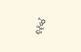 O=C(N[C@@H]1C2CCN(C2)C12CC2)c1cc2cccc(C3CC3)c2s1